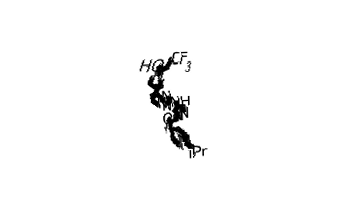 CC(C)CN1CCC(N(C)C(=O)Cn2cc(Nc3nc4c(C5=CCN(C(O)CCC(F)(F)F)CC5)cccn4n3)cn2)CC1